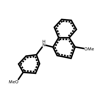 COc1ccc(Nc2ccc(OC)c3ccccc23)cc1